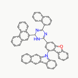 c1ccc2cc3c(cc2c1)c1ccccc1n3-c1cc(C2=NC(c3cccc4ccccc34)=NC(c3cc4ccccc4c4ccccc34)N2)cc2oc3ccccc3c12